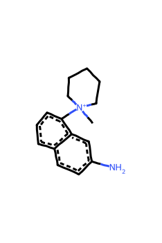 C[N+]1(c2cccc3ccc(N)cc23)CCCCC1